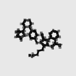 CCCCc1nn(-c2ccccc2[N+](=O)[O-])c(=O)n1Cc1ccc(-c2ccccc2-c2nnn[nH]2)cc1